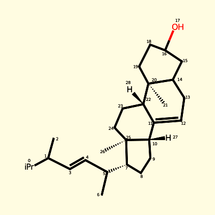 CC(C)C(C)C=CC(C)[C@H]1CC[C@H]2C3=CCC4CC(O)CC[C@]4(C)[C@H]3CC[C@]12C